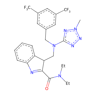 CCN(CC)C(=O)C1=Nc2ccccc2C1CN(Cc1cc(C(F)(F)F)cc(C(F)(F)F)c1)c1nnn(C)n1